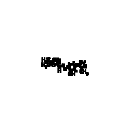 Cc1ncsc1-c1ccc(CCNC(=O)OC(C)(C)C)c(O)c1